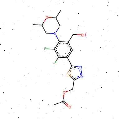 CC(=O)OCc1nnc(-c2cc(CO)c(N3CC(C)OC(C)C3)c(F)c2F)s1